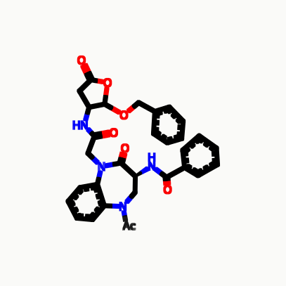 CC(=O)N1C[C@H](NC(=O)c2ccccc2)C(=O)N(CC(=O)NC2CC(=O)OC2OCc2ccccc2)c2ccccc21